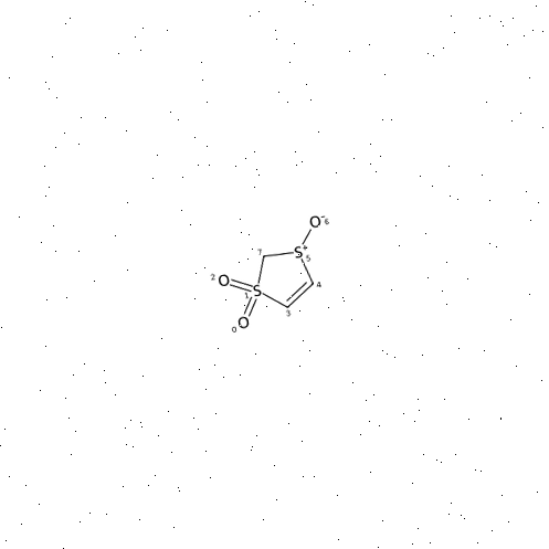 O=S1(=O)C=C[S+]([O-])C1